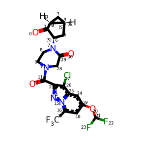 O=C1[C@H]2C[C@H]2C[C@@H]1N1CCN(C(=O)c2nn3c(C(F)(F)F)cc(OC(F)F)cc3c2Cl)CC1=O